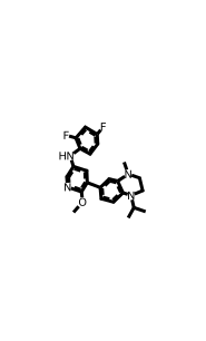 COc1ncc(Nc2ccc(F)cc2F)cc1-c1ccc2c(c1)N(C)CCN2C(C)C